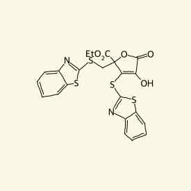 CCOC(=O)C1(CSc2nc3ccccc3s2)OC(=O)C(O)=C1Sc1nc2ccccc2s1